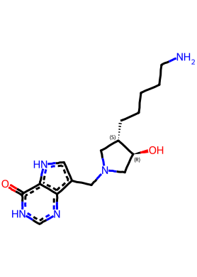 NCCCCC[C@H]1CN(Cc2c[nH]c3c(=O)[nH]cnc23)C[C@@H]1O